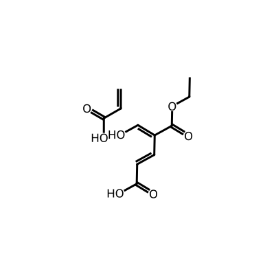 C=CC(=O)O.CCOC(=O)C(C=CC(=O)O)=CO